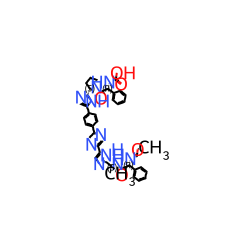 COCN[C@@H](C(=O)N[C@@H](C)c1ncc(-c2cnc(-c3ccc(-c4cnc([C@@H]5CCCN5C(=O)[C@H](NC(=O)O)c5ccccc5)[nH]4)cc3)cn2)[nH]1)c1ccccc1